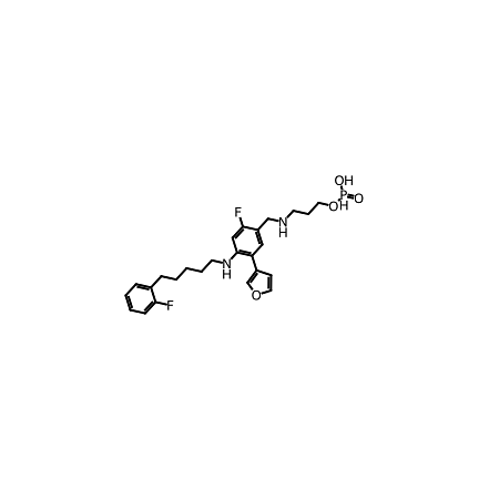 O=[PH](O)OCCCNCc1cc(-c2ccoc2)c(NCCCCCc2ccccc2F)cc1F